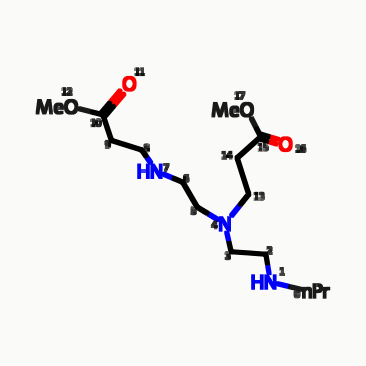 CCCNCCN(CCNCCC(=O)OC)CCC(=O)OC